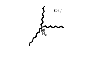 CCCCCCCC[PH](N)(CCCCCCCC)CCCCCCCC.[CH3]